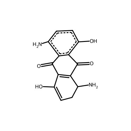 Nc1ccc(O)c2c1C(=O)C1=C(C2=O)C(N)CC=C1O